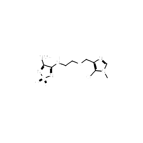 CNC1=NS(=O)(=O)N=C1NCCSCc1ncn(C)c1Cl